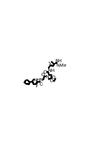 CNC(=N)c1csc(CNC(=O)C2CC3(CN2C(=O)CNC(=O)c2ncc(-c4ccccc4)cc2F)OCCO3)c1